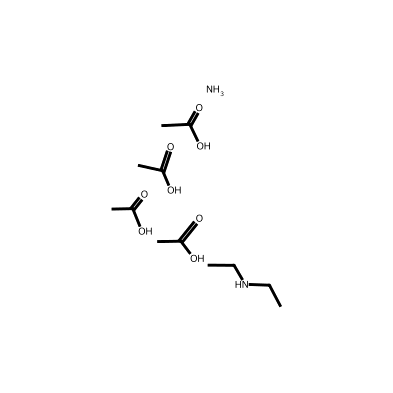 CC(=O)O.CC(=O)O.CC(=O)O.CC(=O)O.CCNCC.N